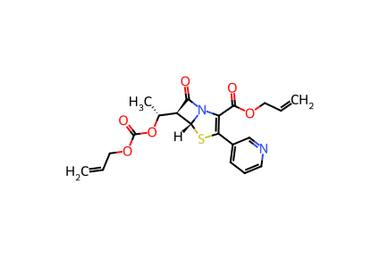 C=CCOC(=O)O[C@H](C)[C@H]1C(=O)N2C(C(=O)OCC=C)=C(c3cccnc3)S[C@H]12